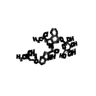 C[C@@H](Cl)[C@@H]1CN(C(=O)c2cc3cc(OCCN(C)C)ccc3[nH]2)c2cc(O[C@@H]3OC(CO)[C@H](O)[C@H](O)C3O)c3ccccc3c21